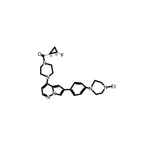 CCN1CCN(c2ccc(-c3cc4c(N5CCN(C(=O)[C@@H]6C[C@@H]6F)CC5)ccnn4c3)cc2)CC1